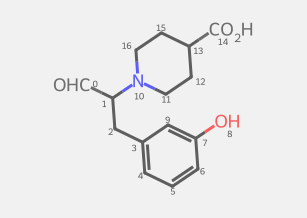 O=CC(Cc1cccc(O)c1)N1CCC(C(=O)O)CC1